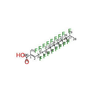 C/C(=C\C(F)(F)C(F)(F)C(F)(F)C(F)(F)C(F)(F)C(F)(F)C(F)(F)C(F)(F)C(C)F)C(=O)O